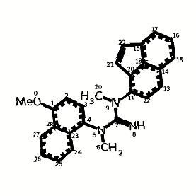 COc1ccc(N(C)C(=N)N(C)c2ccc3cccc4c3c2C=C4)c2ccccc12